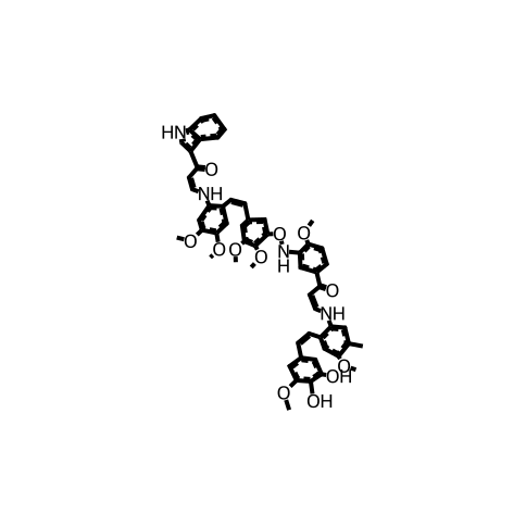 COc1cc(/C=C\c2cc(O)c(O)c(OC)c2)c(N/C=C\C(=O)c2ccc(OC)c(NOc3cc(/C=C\c4cc(OC)c(OC)cc4N/C=C\C(=O)c4c[nH]c5ccccc45)cc(OC)c3OC)c2)cc1C